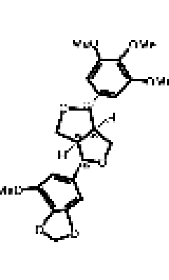 COc1cc([C@H]2OC[C@H]3[C@@H]2CO[C@H]3c2cc(OC)c3c(c2)OCO3)cc(OC)c1OC